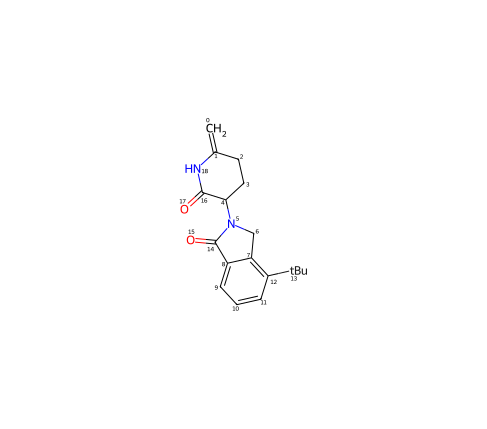 C=C1CCC(N2Cc3c(cccc3C(C)(C)C)C2=O)C(=O)N1